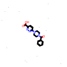 O=C(O)c1ccc(N2CCN(C(=O)c3ccccc3)CC2)nn1